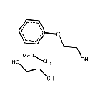 COC.OCCO.OCCOc1ccccc1